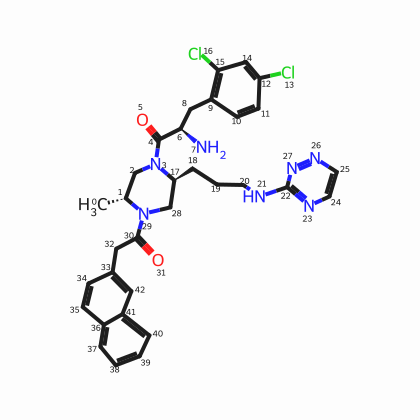 C[C@@H]1CN(C(=O)[C@H](N)Cc2ccc(Cl)cc2Cl)[C@@H](CCCNc2nccnn2)CN1C(=O)Cc1ccc2ccccc2c1